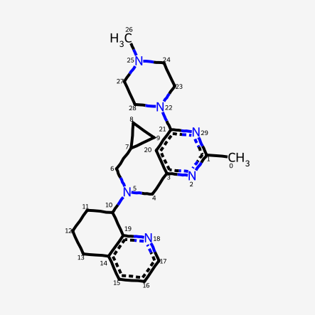 Cc1nc(CN(CC2CC2)C2CCCc3cccnc32)cc(N2CCN(C)CC2)n1